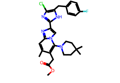 COC(=O)Cc1c(C)cc2nc(-c3nc(Cl)c(Cc4ccc(F)cc4)[nH]3)cn2c1N1CCC(C)(C)CC1